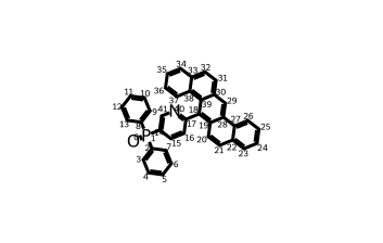 O=P(c1ccccc1)(c1ccccc1)c1ccc(-c2c3ccc4ccccc4c3cc3ccc4ccccc4c23)nc1